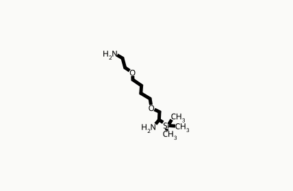 C[Si](C)(C)C(N)COCCCCOCCN